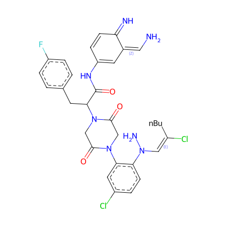 CCCC/C(Cl)=C\N(N)c1ccc(Cl)cc1N1CC(=O)N(C(Cc2ccc(F)cc2)C(=O)NC2=C/C(=C/N)C(=N)C=C2)CC1=O